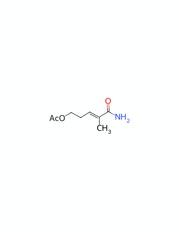 CC(=O)OCC/C=C(\C)C(N)=O